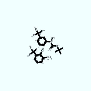 CC(C)(C)OC(=O)N(Cl)c1cccc(C(F)(F)F)c1.Nc1cccc(C(F)(F)F)c1Cl